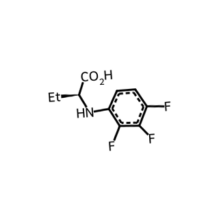 CC[C@H](Nc1ccc(F)c(F)c1F)C(=O)O